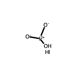 I.[O-][I+2]([O-])O